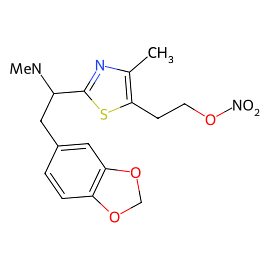 CNC(Cc1ccc2c(c1)OCO2)c1nc(C)c(CCO[N+](=O)[O-])s1